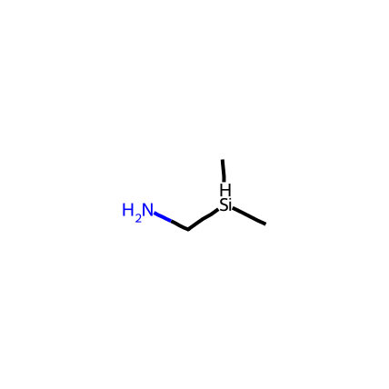 C[SiH](C)CN